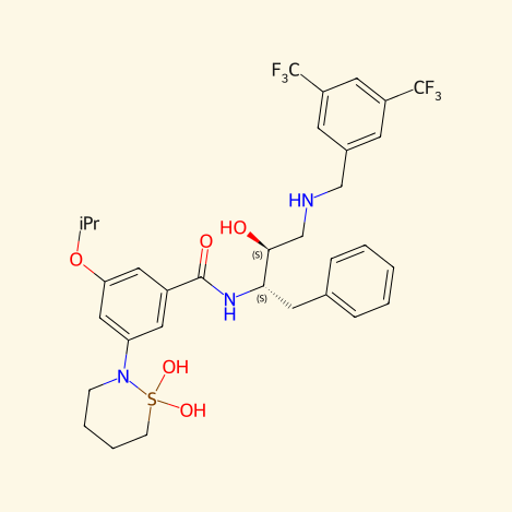 CC(C)Oc1cc(C(=O)N[C@@H](Cc2ccccc2)[C@@H](O)CNCc2cc(C(F)(F)F)cc(C(F)(F)F)c2)cc(N2CCCCS2(O)O)c1